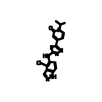 CC(C)n1ccc(-c2nnc(Nc3ccc4[nH]ncc4c3Cl)s2)cc1=O